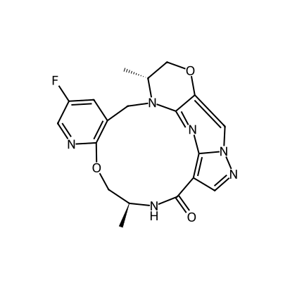 C[C@@H]1COc2cn3ncc4c3nc2N1Cc1cc(F)cnc1OC[C@H](C)NC4=O